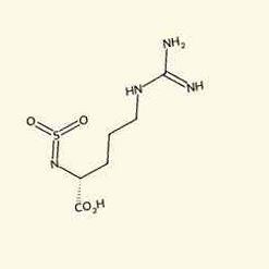 N=C(N)NCCC[C@@H](N=S(=O)=O)C(=O)O